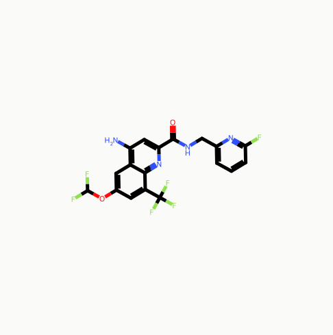 Nc1cc(C(=O)NCc2cccc(F)n2)nc2c(C(F)(F)F)cc(OC(F)F)cc12